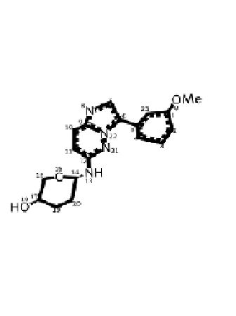 COc1cccc(-c2cnc3ccc(N[C@H]4CC[C@H](O)CC4)nn23)c1